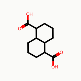 O=C(O)C1CCCC2C(C(=O)O)CCCC12